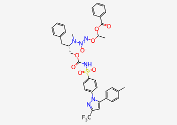 Cc1ccc(-c2cc(C(F)(F)F)nn2-c2ccc(S(=O)(=O)NC(=O)OC[C@H](Cc3ccccc3)N(C)[N+]([O-])=NOC(C)OC(=O)c3ccccc3)cc2)cc1